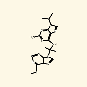 CSC1=NC=NC2C1N=CN2C(C)(C)Nc1nc(N)nc2c1ncn2C(C)C